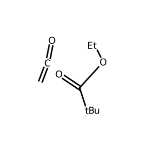 C=C=O.CCOC(=O)C(C)(C)C